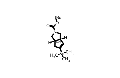 CC(C)(C)OC(=O)N1C[C@H]2C[C]([Sn]([CH3])([CH3])[CH3])=C[C@H]2C1